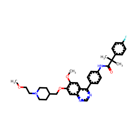 COCCN1CCC(COc2cc3ncnc(-c4ccc(NC(=O)C(C)(C)c5ccc(F)cc5)cc4)c3cc2OC)CC1